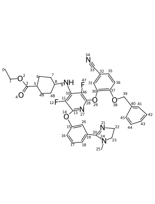 CCOC(=O)C1CCC(Nc2c(F)c(Oc3cccc(C4=NCCN4C)c3)nc(Oc3cc(C#N)ccc3OCc3ccccc3)c2F)CC1